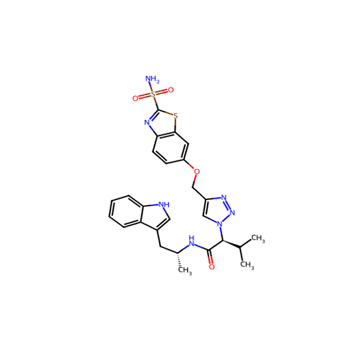 CC(C)[C@@H](C(=O)N[C@H](C)Cc1c[nH]c2ccccc12)n1cc(COc2ccc3nc(S(N)(=O)=O)sc3c2)nn1